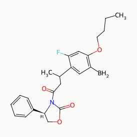 Bc1cc(C(C)CC(=O)N2C(=O)OC[C@H]2c2ccccc2)c(F)cc1OCCCC